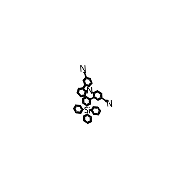 N#Cc1ccc(-n2c3ccccc3c3cc(C#N)ccc32)c(-c2cccc([Si](c3ccccc3)(c3ccccc3)c3ccccc3)c2)c1